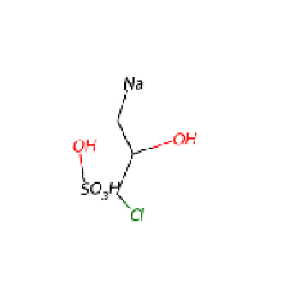 O=S(=O)(O)O.OC([CH2][Na])CCl